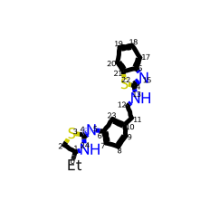 CCC1CS/C(=N/c2cccc(CCNc3nc4ccccc4s3)c2)N1